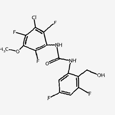 COc1c(F)c(Cl)c(F)c(NC(=O)Nc2cc(F)cc(F)c2CO)c1F